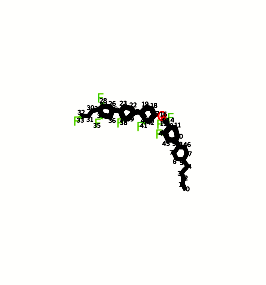 CCCCCC1CCC(c2ccc(C(F)(F)Oc3ccc(-c4ccc(-c5cc(F)c(CCCF)c(F)c5)c(F)c4)c(F)c3)c(F)c2)CC1